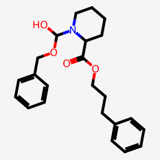 O=C(OCCCc1ccccc1)C1CCCCN1C(O)OCc1ccccc1